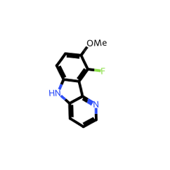 COc1ccc2[nH]c3cccnc3c2c1F